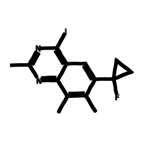 Cc1nc(I)c2cc(C3(F)CC3)c(C)c(C)c2n1